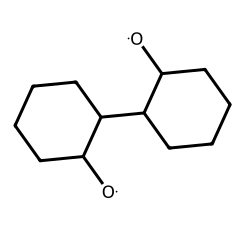 [O]C1CCCCC1C1CCCCC1[O]